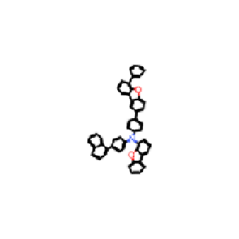 c1ccc(-c2cccc3c2oc2ccc(-c4ccc(N(c5ccc(-c6cccc7ccccc67)cc5)c5cccc6c5oc5ccccc56)cc4)cc23)cc1